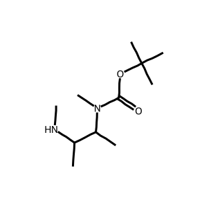 CNC(C)C(C)N(C)C(=O)OC(C)(C)C